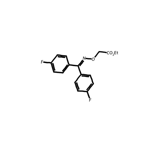 CCOC(=O)CON=C(c1ccc(F)cc1)c1ccc(F)cc1